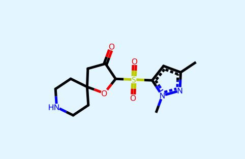 Cc1cc(S(=O)(=O)C2OC3(CCNCC3)CC2=O)n(C)n1